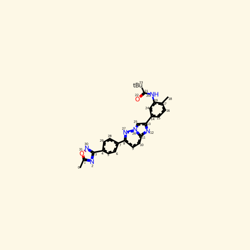 Cc1nc(-c2ccc(-c3ccc4nc(-c5ccc(C)c(NC(=O)C(C)(C)C)c5)cn4n3)cc2)no1